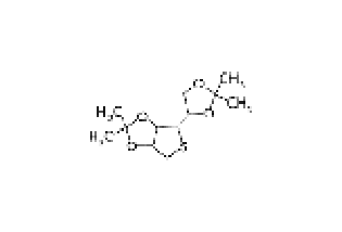 CC1(C)OCC([C@@H]2SCC3OC(C)(C)OC32)O1